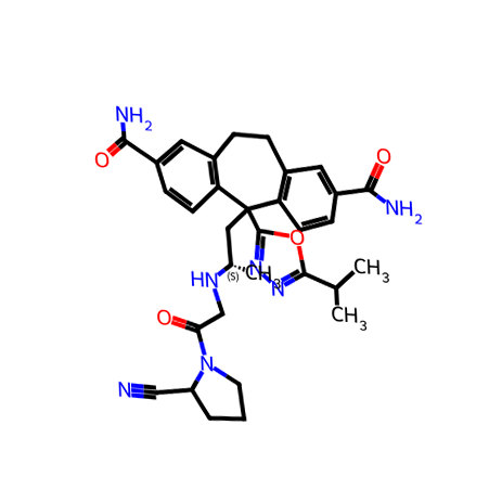 CC(C)c1nnc(C2(C[C@H](C)NCC(=O)N3CCCC3C#N)c3ccc(C(N)=O)cc3CCc3cc(C(N)=O)ccc32)o1